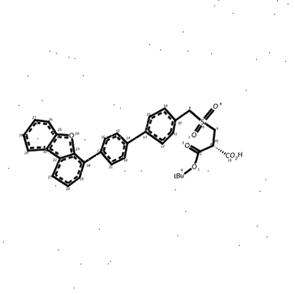 CC(C)(C)OC(=O)[C@H](CS(=O)(=O)Cc1ccc(-c2ccc(-c3cccc4c3oc3ccccc34)cc2)cc1)C(=O)O